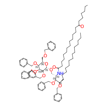 CCCCCCCCCCCCCC[C@@H](OCc1ccccc1)[C@@H](OCc1ccccc1)[C@H](CO[C@H]1O[C@H](COCc2ccccc2)[C@H](OCc2ccccc2)[C@H](OCc2ccccc2)[C@H]1OCc1ccccc1)NC(=O)CCCCCCCCCCCCC(=O)CCCCCC